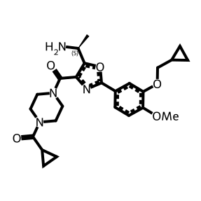 COc1ccc(-c2nc(C(=O)N3CCN(C(=O)C4CC4)CC3)c([C@H](C)N)o2)cc1OCC1CC1